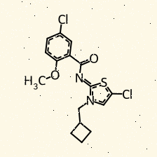 COc1ccc(Cl)cc1C(=O)N=c1sc(Cl)cn1CC1CCC1